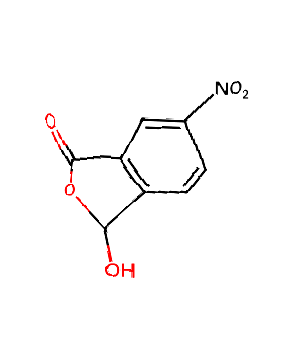 O=C1OC(O)c2ccc([N+](=O)[O-])cc21